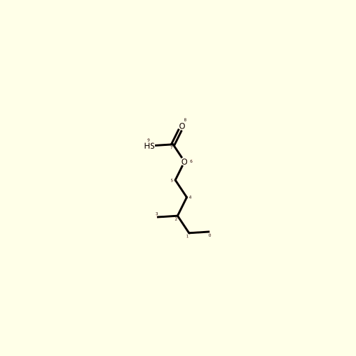 CCC(C)CCOC(=O)S